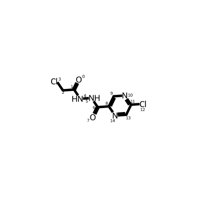 O=C(CCl)NNC(=O)c1cnc(Cl)cn1